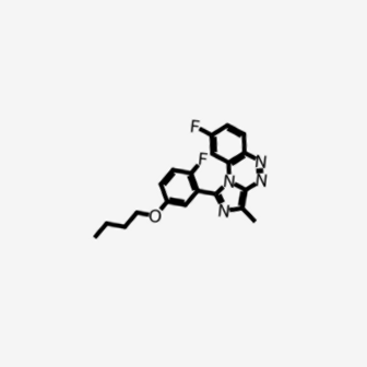 CCCCOc1ccc(F)c(-c2nc(C)c3nnc4ccc(F)cc4n23)c1